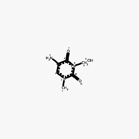 Cl.Cn1cc(N)c(=O)n(C)c1=O